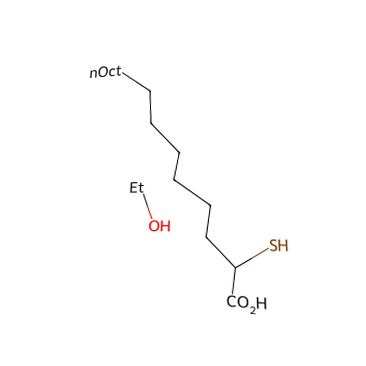 CCCCCCCCCCCCCCC(S)C(=O)O.CCO